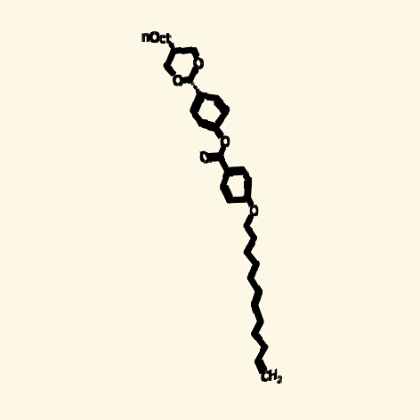 C=CCCCCCCCCCCOc1ccc(C(=O)Oc2ccc([C@H]3OC[C@H](CCCCCCCC)CO3)cc2)cc1